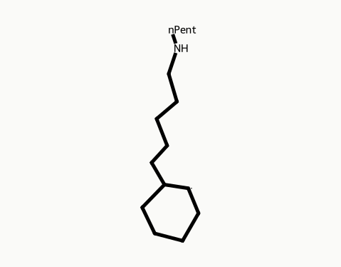 CCCCCNCCCCCC1[CH]CCCC1